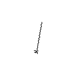 CCCCCCCCCCCCCCCCCCCCCC[N+](CC)(CC)CC